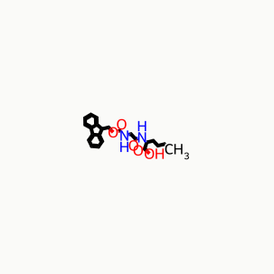 CCCCC(NC(=O)CNC(=O)OCC1c2ccccc2-c2ccccc21)C(=O)O